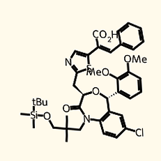 COc1cccc([C@H]2O[C@H](Cc3ncc(C(=Cc4ccccc4)C(=O)O)s3)C(=O)N(CC(C)(C)CO[Si](C)(C)C(C)(C)C)c3ccc(Cl)cc32)c1OC